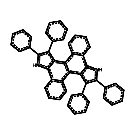 c1ccc(-c2[nH]c3c4ccccc4c4c5c(-c6ccccc6)c(-c6ccccc6)[nH]c5c5ccccc5c4c3c2-c2ccccc2)cc1